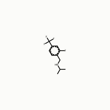 CC(C)NCc1ccc(C(F)(F)F)cc1F